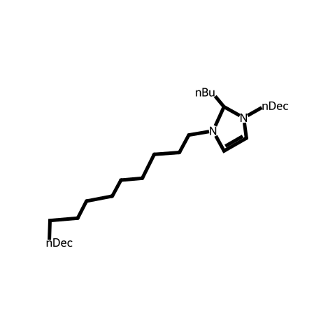 CCCCCCCCCCCCCCCCCCCN1C=CN(CCCCCCCCCC)C1CCCC